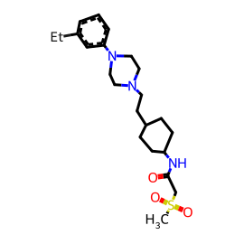 CCc1cccc(N2CCN(CCC3CCC(NC(=O)CS(C)(=O)=O)CC3)CC2)c1